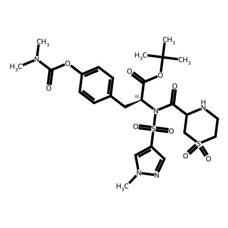 CN(C)C(=O)Oc1ccc(C[C@@H](C(=O)OC(C)(C)C)N(C(=O)C2CS(=O)(=O)CCN2)S(=O)(=O)c2cnn(C)c2)cc1